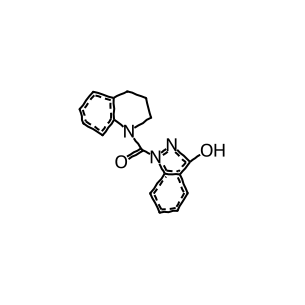 O=C(N1CCCc2ccccc21)n1nc(O)c2ccccc21